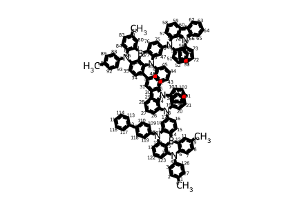 Cc1ccc(N2c3ccc(C)cc3B3c4ccc(N(c5ccccc5)c5cccc6c7cc(-c8ccc9c%10c8N(c8ccccc8)c8cc(N(c%11ccccc%11)c%11cccc%12c%13ccccc%13n(-c%13ccccc%13)c%11%12)ccc8B%10c8cc(C)ccc8N9c8ccc(C)cc8)ccc7n(-c7ccccc7)c56)cc4N(c4ccc(-c5ccccc5)cc4)c4cccc2c43)cc1